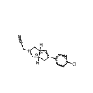 N#CCN1C[C@H]2CC(c3ccc(Cl)nc3)=C[C@H]2C1